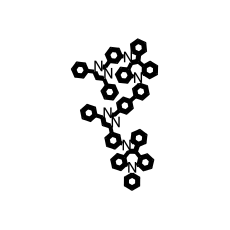 c1ccc(-c2cc(-c3cccc(-n4c5c(c6ccccc64)-c4ccccc4N(c4ccccc4)c4ccccc4-5)c3)nc(-c3ccc(-c4cccc(N5c6ccccc6-c6c(n(-c7cccc(-c8nc(-c9ccccc9)cc(-c9ccccc9)n8)c7)c7ccccc67)-c6ccccc65)c4)cc3)n2)cc1